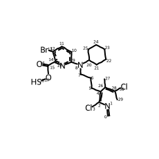 C=N/C(Cl)=C(CCCN(c1ccc(Br)c(C(=O)OS)n1)C1CCCCC1)\C(C)=C(/C)Cl